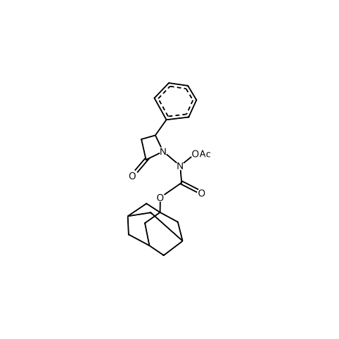 CC(=O)ON(C(=O)OC12CC3CC(CC(C3)C1)C2)N1C(=O)CC1c1ccccc1